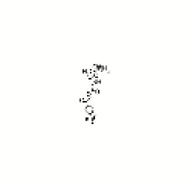 CC(C)(C)OC(=O)NCC(=O)OCC(=O)c1ccc(C(F)(F)F)cc1